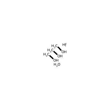 CO.CO.CO.O.[Hf]